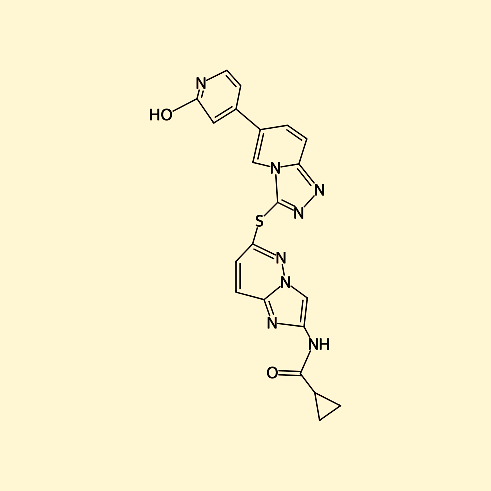 O=C(Nc1cn2nc(Sc3nnc4ccc(-c5ccnc(O)c5)cn34)ccc2n1)C1CC1